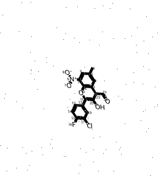 Cc1cc2c(c([N+](=O)[O-])c1)OC(c1ccc(F)c(Cl)c1)=C(O)C2C=O